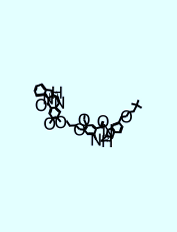 COc1cc2c(cc1OCCCOc1cc3c(cc1OC)C(=O)N1c4cc(COCCC(C)(C)C)ccc4C[C@H]1C=N3)N=C[C@@H]1Cc3ccccc3N1C2=O